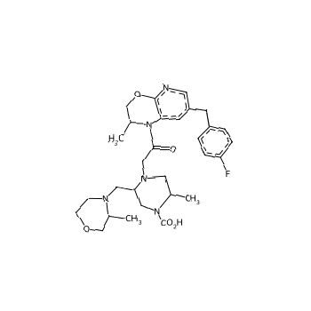 CC1COCCN1CC1CN(C(=O)O)C(C)CN1CC(=O)N1c2cc(Cc3ccc(F)cc3)cnc2OCC1C